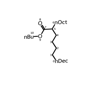 CCCCCCCCCCCCCCC(CCCCCCCC)C(=O)OCCCC